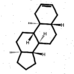 C[C@@]12CCC[C@H]1[C@@H]1CC[C@H]3CC=CC[C@]3(C)[C@H]1CC2